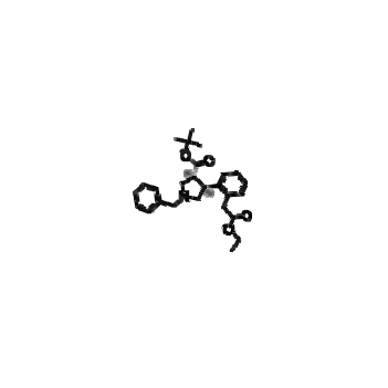 CCOC(=O)Cc1ccccc1[C@H]1CN(Cc2ccccc2)C[C@@H]1C(=O)OC(C)(C)C